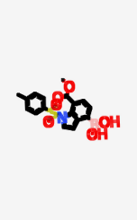 COC(=O)c1ccc(B(O)O)c2ccn(S(=O)(=O)c3ccc(C)cc3)c12